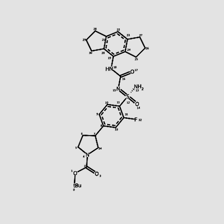 CC(C)(C)OC(=O)N1CCC(c2ccc([S@](N)(=O)=NC(=O)Nc3c4c(cc5c3CCC5)CCC4)c(F)c2)C1